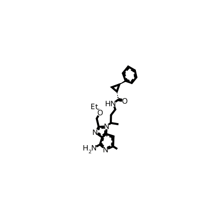 CCOCc1nc2c(N)nc(C)cc2n1C(C)CCNC(=O)[C@@H]1C[C@H]1c1ccccc1